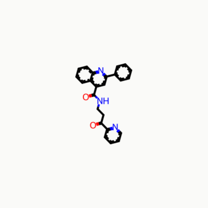 O=C(CCNC(=O)c1cc(-c2ccccc2)nc2ccccc12)c1ccccn1